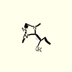 C=C/C(O)=C1\N(C)C=NN1C